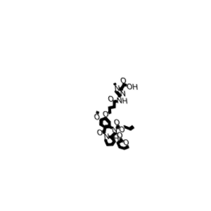 C=CCOC(=O)N1c2cc(OCCCC(=O)Nc3cn(C)c(C(=O)O)n3)c(OC)cc2C(=O)N2CCCC[C@H]2[C@@H]1OC1CCCCO1